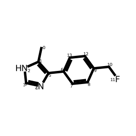 Cc1[nH][c]nc1-c1ccc(CF)cc1